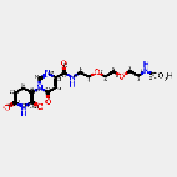 O=C(O)NCCOCCOCCNC(=O)c1cc(=O)n(C2CCC(=O)NC2=O)cn1